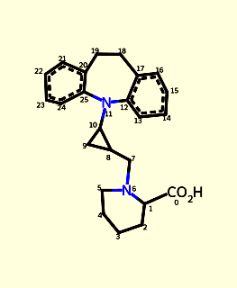 O=C(O)C1CCCCN1CC1CC1N1c2ccccc2CCc2ccccc21